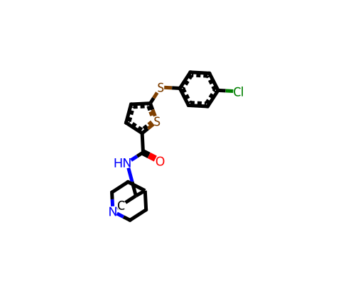 O=C(NC1CN2CCC1CC2)c1ccc(Sc2ccc(Cl)cc2)s1